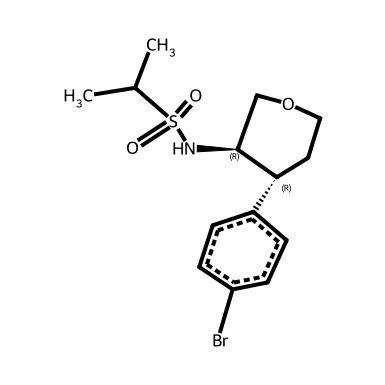 CC(C)S(=O)(=O)N[C@H]1COCC[C@@H]1c1ccc(Br)cc1